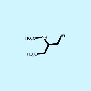 CC(C)CC(CC(=O)O)NC(=O)O